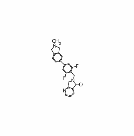 CN1Cc2ccc(-c3cc(F)c(CN4Cc5ncccc5C4=O)c(F)c3)cc2C1